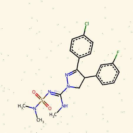 CN/C(=N\S(=O)(=O)N(C)C)N1CC(c2cccc(F)c2)C(c2ccc(Cl)cc2)=N1